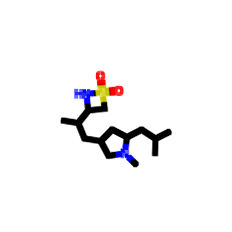 CC(C)CC1CC(CC(C)C2CS(=O)(=O)N2)CN1C